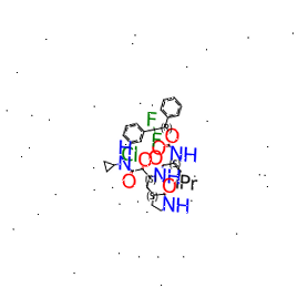 CC(C)C[C@H](NC(=O)O[C@H](c1ccccc1)C(F)(F)c1cccc(Cl)c1)C(=O)N[C@@H](C[C@@H]1CCNC1=O)C(=O)C(=O)NC1CC1